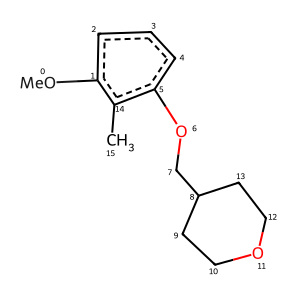 COc1cccc(OCC2CCOCC2)c1C